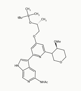 CO[C@H]1CCOCC1c1cc(OC[C@@H](C)O[Si](C)(C)C(C)(C)C)cc(-c2c[nH]c3cnc(NC(C)=O)cc23)n1